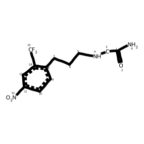 NC(=O)CNCCCc1ccc([N+](=O)[O-])cc1C(F)(F)F